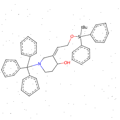 CC(C)(C)[Si](OCC=C1CN(C(c2ccccc2)(c2ccccc2)c2ccccc2)CCC1O)(c1ccccc1)c1ccccc1